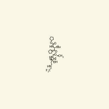 C=C[C@@H]1C[C@]1(NC(=O)[C@@H]1CCCN1C(=O)[C@@H](NC(=O)OC1CCCC1)C(C)(C)C)P(=O)(O)CCNCC(F)(F)F